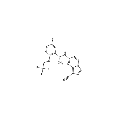 C[C@@H](Nc1ccn2ncc(C#N)c2n1)c1cc(F)cnc1OCC(F)(F)F